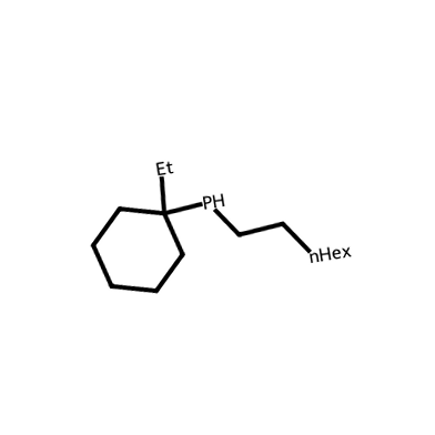 CCCCCCCCPC1(CC)CCCCC1